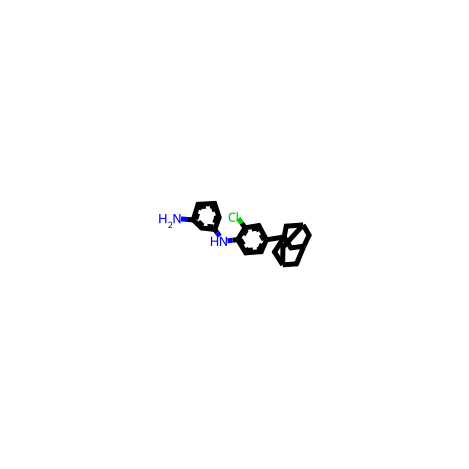 Nc1cccc(Nc2ccc(C34CC5CC(CC(C5)C3)C4)cc2Cl)c1